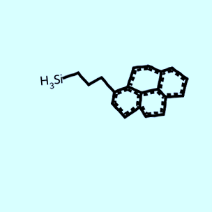 [SiH3]CCCc1ccc2ccc3cccc4ccc1c2c34